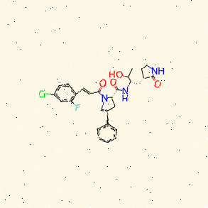 CC(O)[C@H](C[C@@H]1CCNC1=O)NC(=O)[C@@H]1C[C@@H](c2ccccc2)CN1C(=O)/C=C/c1ccc(Cl)cc1F